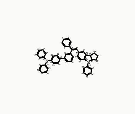 C(=C(\c1ccccc1)c1cccc(-c2ccc(N(c3ccccc3)c3ccccc3)cc2)c1)/c1ccc2c(c1)C1CCCC1N2c1ccccc1